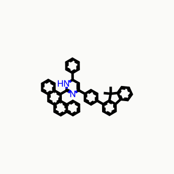 CC1(C)c2ccccc2-c2cccc(-c3ccc(C4=CC(c5ccccc5)NC(c5c6ccccc6cc6ccc7ccccc7c56)=N4)cc3)c21